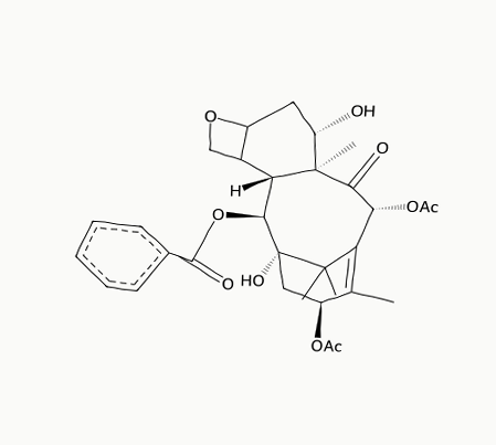 CC(=O)O[C@H]1C(=O)[C@]2(C)[C@@H](O)CC3OCC3[C@H]2[C@H](OC(=O)c2ccccc2)[C@]2(O)C[C@H](OC(C)=O)C(C)=C1C2(C)C